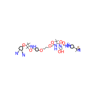 Cc1ncsc1-c1ccc(N(C)NC(=O)[C@@H]2C[C@@H](O)CN2C(=O)C(NC(=O)COCCCCOc2ccc(C(=O)NC3C(C)(C)C(Oc4ccc(C#N)c(C#N)c4)C3(C)C)cc2)C(C)(C)C)cc1